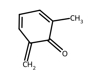 C=C1C=CC=C(C)C1=O